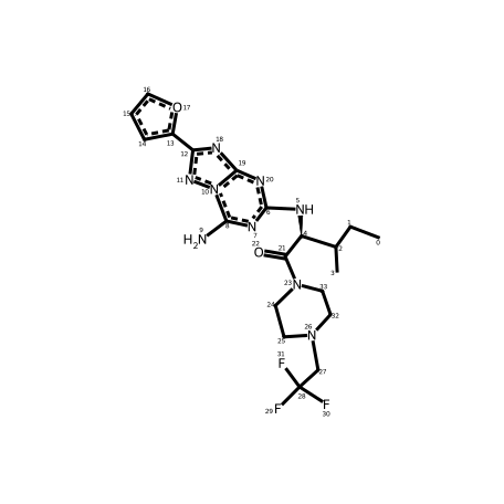 CCC(C)[C@H](Nc1nc(N)n2nc(-c3ccco3)nc2n1)C(=O)N1CCN(CC(F)(F)F)CC1